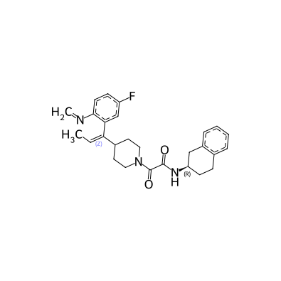 C=Nc1ccc(F)cc1/C(=C\C)C1CCN(C(=O)C(=O)N[C@@H]2CCc3ccccc3C2)CC1